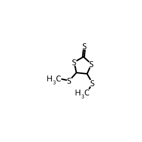 CSC1SC(=S)SC1SC